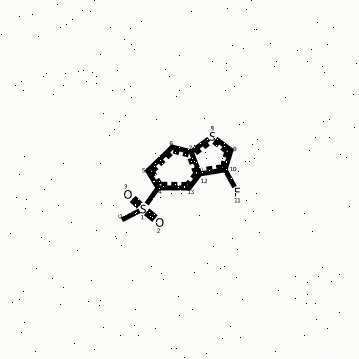 CS(=O)(=O)c1ccc2scc(F)c2c1